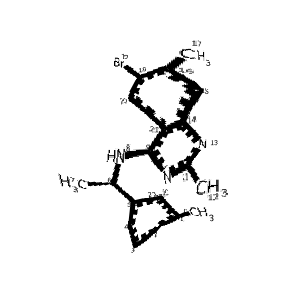 Cc1cccc([C@@H](C)Nc2nc(C)nc3cc(C)c(Br)cc23)c1